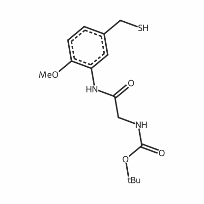 COc1ccc(CS)cc1NC(=O)CNC(=O)OC(C)(C)C